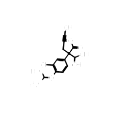 CC#CCC(C(=O)O)(c1ccc(OC(C)C)c(Cl)c1)C(C)C